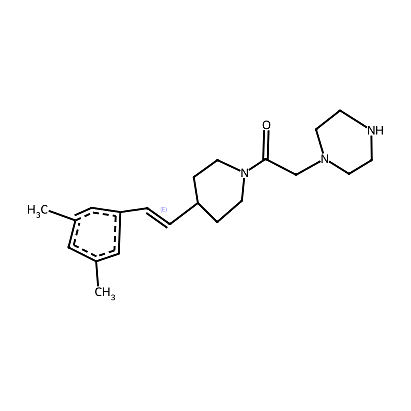 Cc1cc(C)cc(/C=C/C2CCN(C(=O)CN3CCNCC3)CC2)c1